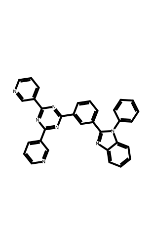 c1ccc(-n2c(-c3cccc(-c4nc(-c5cccnc5)nc(-c5cccnc5)n4)c3)nc3ccccc32)cc1